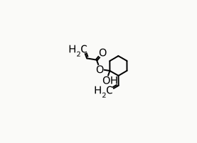 C=CC(=O)OC1(O)CCCCC1C=C